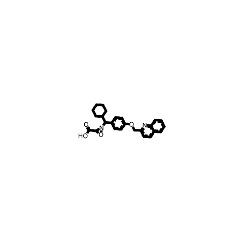 O=C(O)C1ON1C(c1ccc(OCc2ccc3ccccc3n2)cc1)C1CCCCC1